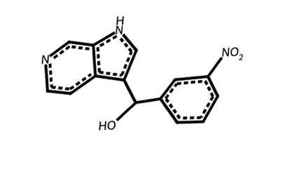 O=[N+]([O-])c1cccc(C(O)c2c[nH]c3cnccc23)c1